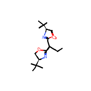 CCC(C1=N[C@@H](C(C)(C)C)CO1)C1=N[C@@H](C(C)(C)C)CO1